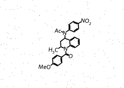 COc1ccc(C(=O)N2c3ccccc3C(N(C(C)=O)c3ccc([N+](=O)[O-])cc3)CC2C)cc1